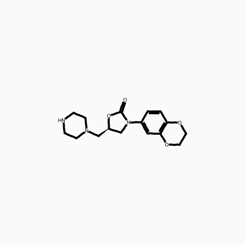 O=C1O[C@H](CN2CCNCC2)CN1c1ccc2c(c1)OCCO2